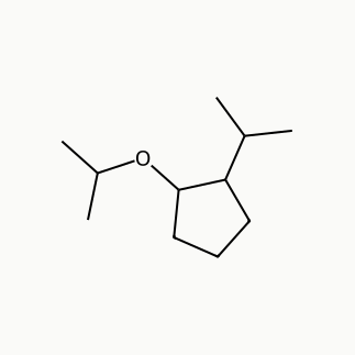 CC(C)OC1CCCC1C(C)C